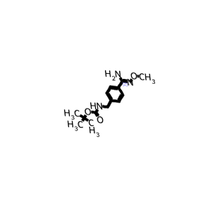 CO/N=C(\N)c1ccc(CNC(=O)OC(C)(C)C)cc1